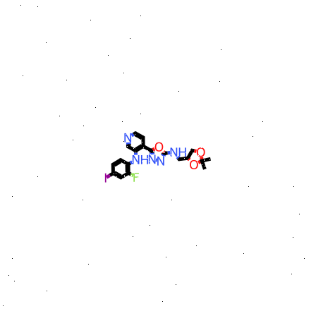 CC1(C)OCC(CNc2nnc(-c3ccncc3Nc3ccc(I)cc3F)o2)O1